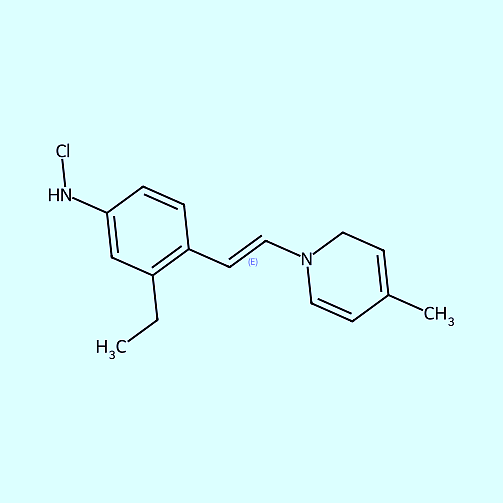 CCc1cc(NCl)ccc1/C=C/N1C=CC(C)=CC1